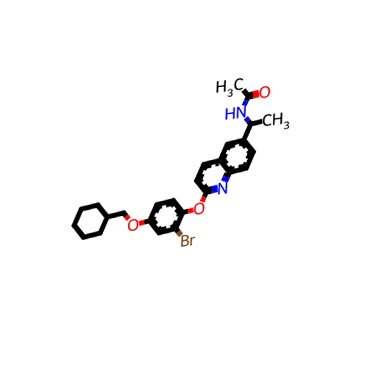 CC(=O)NC(C)c1ccc2nc(Oc3ccc(OCC4CCCCC4)cc3Br)ccc2c1